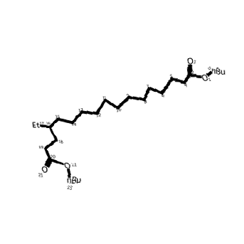 CCCCOC(=O)CCCCCCCCCCCCC(CC)CCC(=O)OCCCC